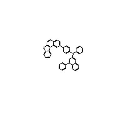 c1ccc(-c2cc(N(c3ccccc3)c3ccc(-c4ccc5ccc6oc7ccccc7c6c5c4)cc3)cc3ccccc23)cc1